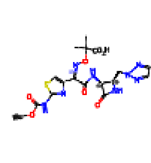 CC(C)(C)OC(=O)Nc1nc(/C(=N/OC(C)(C)C(=O)O)C(=O)N[C@@H]2C(=O)N[C@@H]2Cn2nccn2)cs1